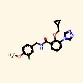 COc1ccc(CNC(=O)c2cccc(-n3cnnc3)c2OCC2CC2)cc1F